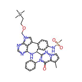 Cc1ccn2nc([C@H](C)Nc3ncnc4c3c(-c3ccc(NS(C)(=O)=O)cc3)cn4COCC[Si](C)(C)C)n(-c3ccccc3)c(=O)c12